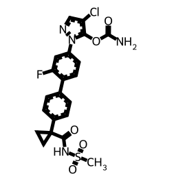 CS(=O)(=O)NC(=O)C1(c2ccc(-c3ccc(-n4ncc(Cl)c4OC(N)=O)cc3F)cc2)CC1